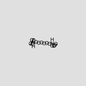 CC(C)(C)OC(=O)C[C@H](NCCOCCOCCOCCOCCOCCOCCN[C@@H](CC(=O)OC(C)(C)C)C(=O)OC(C)(C)C)C(=O)OC(C)(C)C